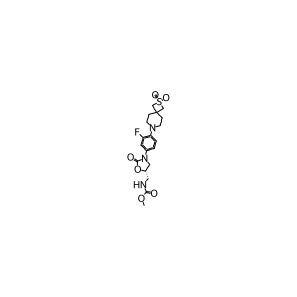 COC(=O)NC[C@H]1CN(c2ccc(N3CCC4(CC3)CS(=O)(=O)C4)c(F)c2)C(=O)O1